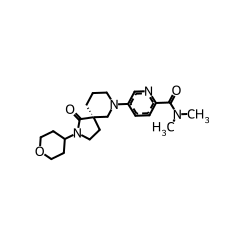 CN(C)C(=O)c1ccc(N2CCC[C@@]3(CCN(C4CCOCC4)C3=O)C2)cn1